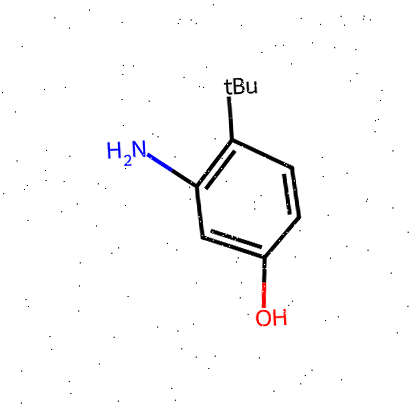 CC(C)(C)c1ccc(O)cc1N